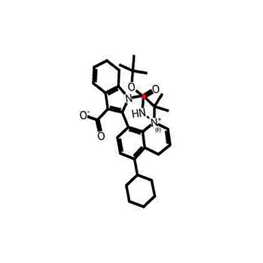 CC(C)(C)OC(=O)N[N@+]12C=CCc3c(C4CCCCC4)ccc(c31)-c1c(C(=O)[O-])c3c(n1CC2(C)C)CCC=C3